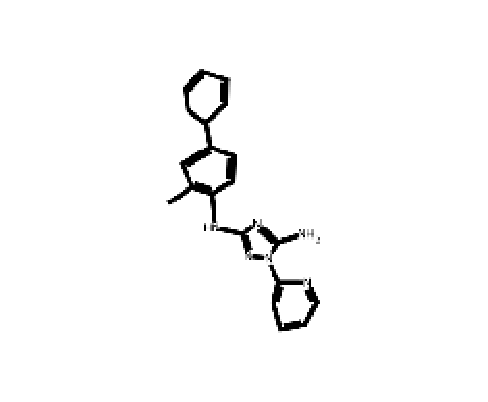 Cc1cc(C2C=CC=CC2)ccc1Nc1nc(N)n(-c2ccccn2)n1